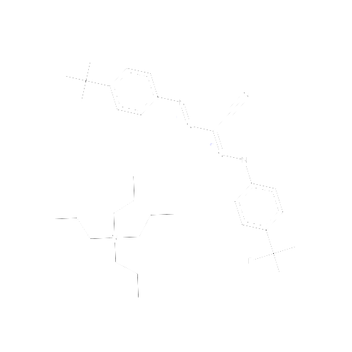 CCC[N+](CCC)(CCC)CCC.N#CC(/N=N/c1ccc(C(F)(F)F)cc1)=N\Nc1ccc(C(F)(F)F)cc1